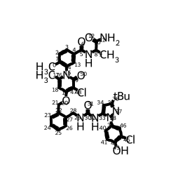 Cc1ccc(C(=O)NC(C)C(N)=O)cc1-n1c(C)cc(OCc2ccccc2CNC(=O)Nc2cc(C(C)(C)C)nn2-c2ccc(O)c(Cl)c2)c(Cl)c1=O